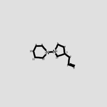 C=CCC1CCN(N2CCCCC2)C1